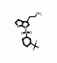 NCCc1cn(S(=O)(=O)c2cccc(C(F)(F)F)c2)c2sccc12